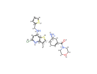 Cc1c([C@H]2CC=C(C(=O)N3CCOCC3)C[C@@H]2N)sc2c(NCc3cccs3)cc(Cl)nc12